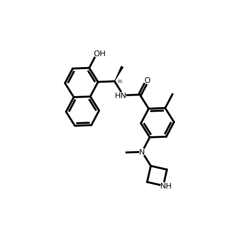 Cc1ccc(N(C)C2CNC2)cc1C(=O)N[C@H](C)c1c(O)ccc2ccccc12